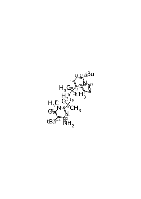 Cn1c(C(C)(C)CCC(C)(C)c2ccc(C(C)(C)C)n3cncc23)nc(N)c(C(C)(C)C)c1=O